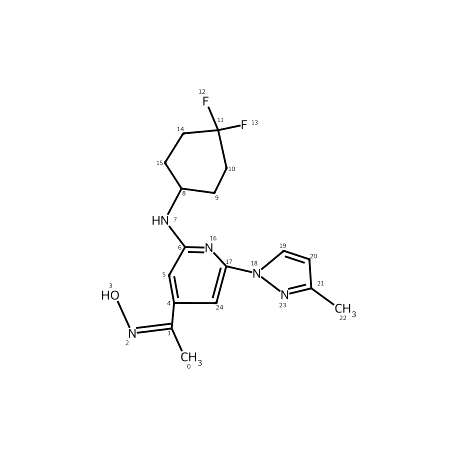 C/C(=N/O)c1cc(NC2CCC(F)(F)CC2)nc(-n2ccc(C)n2)c1